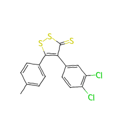 Cc1ccc(-c2ssc(=S)c2-c2ccc(Cl)c(Cl)c2)cc1